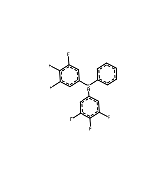 Fc1cc([SH](c2ccccc2)c2cc(F)c(F)c(F)c2)cc(F)c1F